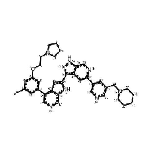 Fc1cc(OCCN2CCCC2)cc(-c2cncc3[nH]c(-c4n[nH]c5cnc(-c6cncc(CN7CCCCC7)c6)cc45)cc23)c1